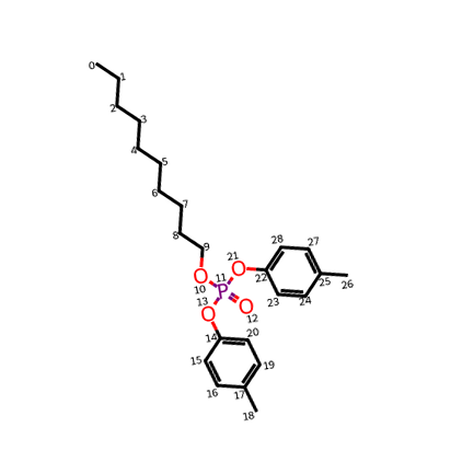 CCCCCCCCCCOP(=O)(Oc1ccc(C)cc1)Oc1ccc(C)cc1